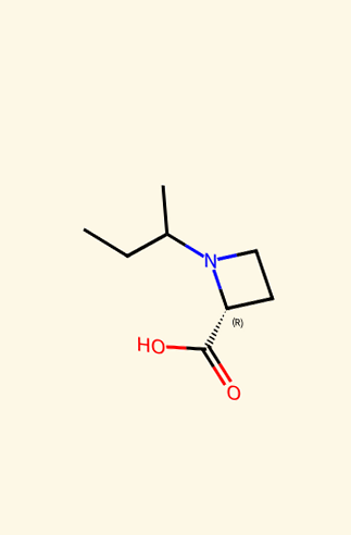 CCC(C)N1CC[C@@H]1C(=O)O